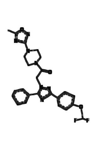 Cc1nc(N2CCN(C(=O)Cn3nc(-c4ccc(OC(F)F)cc4)nc3-c3ccccc3)CC2)no1